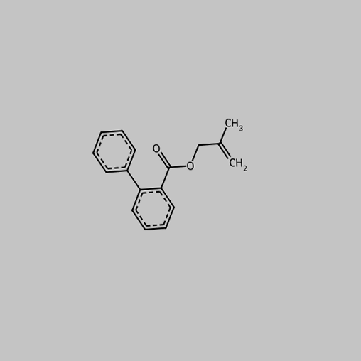 C=C(C)COC(=O)c1ccccc1-c1ccccc1